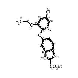 CCOC(=O)c1nc2ccc(Oc3ncc(Cl)cc3OCC(F)(F)F)cc2o1